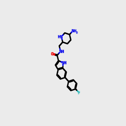 NC1CCC(CNC(=O)c2cc3ccc(-c4ccc(F)cc4)cc3[nH]2)NC1